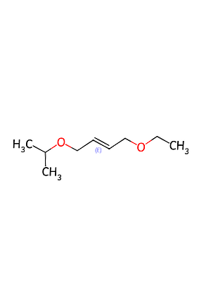 CCOC/C=C/COC(C)C